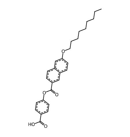 CCCCCCCCCOc1ccc2cc(C(=O)Oc3ccc(C(=O)O)cc3)ccc2c1